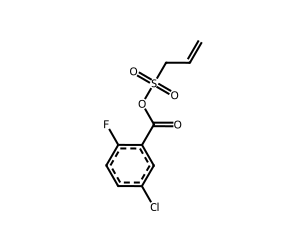 C=CCS(=O)(=O)OC(=O)c1cc(Cl)ccc1F